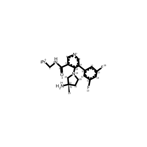 CC(C)CNC(=O)c1cncc(-c2cc(F)cc(F)c2)c1N1CC[C@](C)(N)C1